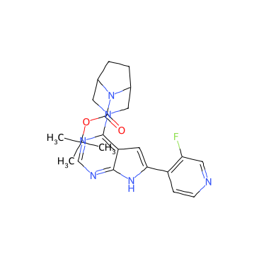 CC(C)(C)OC(=O)N1C2CCC1CN(c1ncnc3[nH]c(-c4ccncc4F)cc13)C2